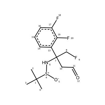 CC(C)(C)[S+]([O-])NC(CF)(CC=O)c1cccc(F)c1F